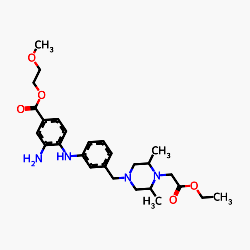 CCOC(=O)CN1C(C)CN(Cc2cccc(Nc3ccc(C(=O)OCCOC)cc3N)c2)CC1C